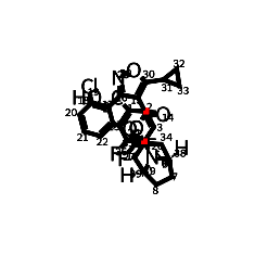 O=C(O)c1ccc(N2[C@@H]3CC[C@H]2CC(OC(=O)c2c(-c4c(Cl)cccc4OC(F)F)noc2C2CC2)C3)c(F)c1